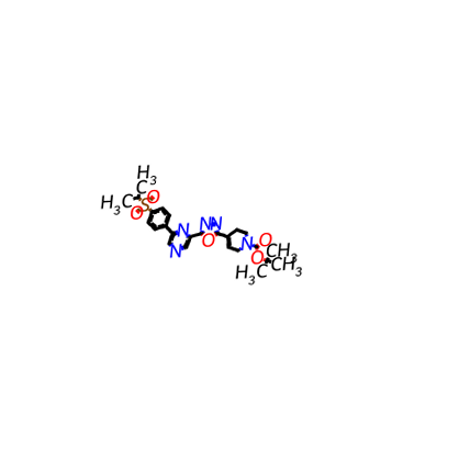 CC(C)S(=O)(=O)c1ccc(-c2cncc(-c3nnc(C4=CCN(C(=O)OC(C)(C)C)CC4)o3)n2)cc1